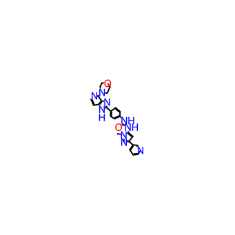 Cn1nc(-c2cccnc2)cc1NC(=O)Nc1ccc(-c2nc3c(N4CCOCC4)nccc3[nH]2)cc1